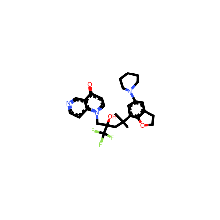 CC(C)(CC(O)(Cn1ccc(=O)c2cnccc21)C(F)(F)F)c1cc(N2CCCCC2)cc2c1OCC2